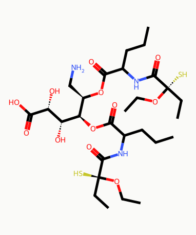 CCCC(NC(=O)[C@@](S)(CC)OCC)C(=O)O[C@@H]([C@H](O)[C@@H](O)C(=O)O)[C@@H](CN)OC(=O)C(CCC)NC(=O)[C@@](S)(CC)OCC